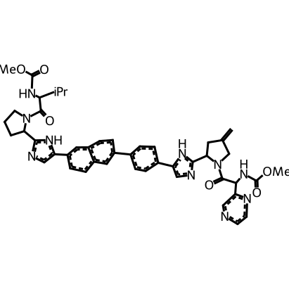 C=C1CC(c2ncc(-c3ccc(-c4ccc5cc(-c6cnc(C7CCCN7C(=O)C(NC(=O)OC)C(C)C)[nH]6)ccc5c4)cc3)[nH]2)N(C(=O)C(NC(=O)OC)c2cnccn2)C1